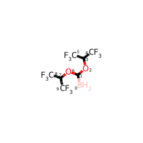 BC(OC(C(F)(F)F)C(F)(F)F)OC(C(F)(F)F)C(F)(F)F